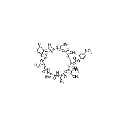 C/C=C(\C)[C@H]1OC(=O)[C@@H](C)NC(=O)[C@H]([C@H](C)CC)NC(=O)CN(C)C(=O)[C@@H](Cc2ccc(Cl)cc2)N(C)C(=O)[C@H](C)NC(=O)[C@@H](CC(C)C)OC(=O)/C(C)=C/C[C@H](OC(=O)Oc2ccc([N+](=O)[O-])cc2)[C@@H]1C